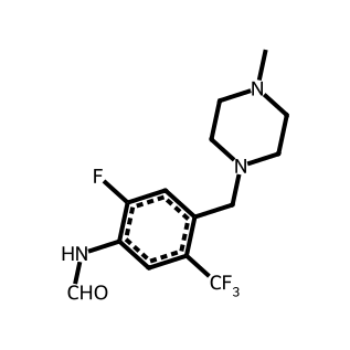 CN1CCN(Cc2cc(F)c(NC=O)cc2C(F)(F)F)CC1